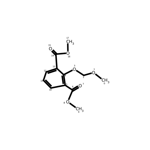 COCOc1c(C(=O)OC)cccc1C(=O)OC